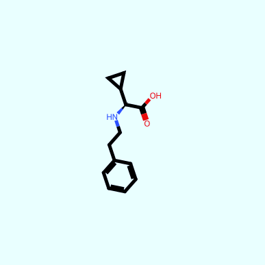 O=C(O)[C@@H](NCCc1ccccc1)C1CC1